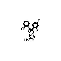 Fc1ccc([C@]2(Cn3cnc(S)n3)O[C@H]2c2ccccc2Cl)c(F)c1